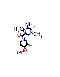 CC(C)O[C@H]1CCN(C(=O)C2CN(C)CC(N)N2C)C[C@H]1F